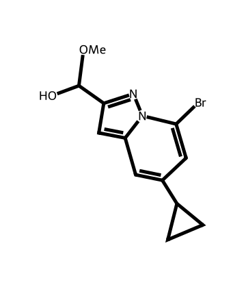 COC(O)c1cc2cc(C3CC3)cc(Br)n2n1